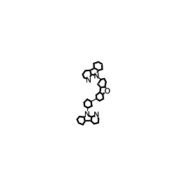 c1cc(-c2ccc3oc4ccc(-n5c6ccccc6c6cccnc65)cc4c3c2)cc(-n2c3ccccc3c3cccnc32)c1